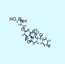 Nc1c(C(=O)c2ccc(F)cc2)ccc(=O)n1-c1c(F)cc(OCCNC(=O)O)cc1F